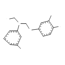 CC(=O)CN(COc1ccc(Br)c(Br)c1)c1cccc(C(=O)O)c1